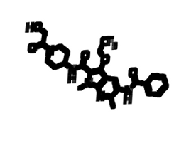 Cc1nc2c(cc1NC(=O)c1ccccc1)c(OCC(F)(F)F)c(C(=O)NC1CCN(C(=O)CO)CC1)n2C